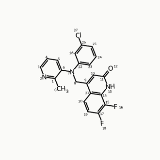 Cc1ncccc1N(Cc1cc(=O)[nH]c2c(F)c(F)ccc12)c1cccc(Cl)c1